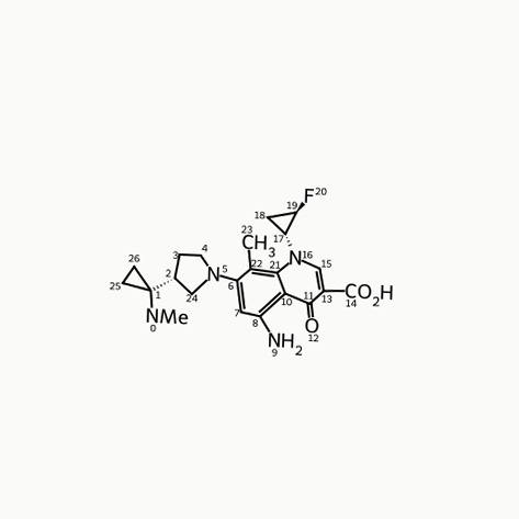 CNC1([C@@H]2CCN(c3cc(N)c4c(=O)c(C(=O)O)cn([C@@H]5C[C@H]5F)c4c3C)C2)CC1